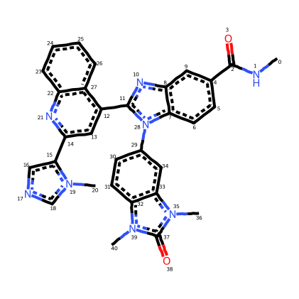 CNC(=O)c1ccc2c(c1)nc(-c1cc(-c3cncn3C)nc3ccccc13)n2-c1ccc2c(c1)n(C)c(=O)n2C